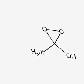 O[C]1([BiH2])OO1